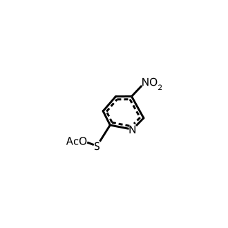 CC(=O)OSc1ccc([N+](=O)[O-])cn1